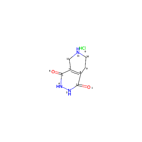 Cl.O=c1[nH][nH]c(=O)c2c1CCNC2